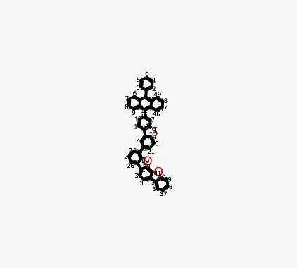 c1ccc(-c2c3ccccc3c(-c3ccc4c(c3)sc3ccc(-c5cccc6c5oc5c6ccc6c7ccccc7oc65)cc34)c3ccccc23)cc1